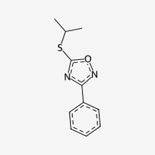 CC(C)Sc1nc(-c2ccccc2)no1